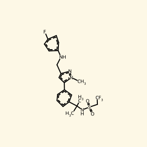 Cn1nc(CNc2ccc(F)cc2)cc1-c1cccc(C(C)(C)NS(=O)(=O)CC(F)(F)F)c1